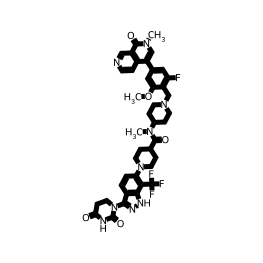 COc1cc(-c2cn(C)c(=O)c3cnccc23)cc(F)c1CN1CCC(N(C)C(=O)C2CCN(c3ccc4c(N5CCC(=O)NC5=O)n[nH]c4c3C(F)(F)F)CC2)CC1